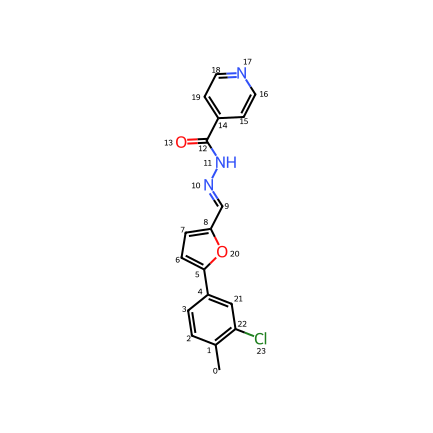 Cc1ccc(-c2ccc(/C=N/NC(=O)c3ccncc3)o2)cc1Cl